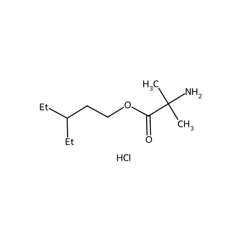 CCC(CC)CCOC(=O)C(C)(C)N.Cl